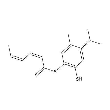 C=C(/C=C\C=C/C)Sc1cc(C)c(C(C)C)cc1S